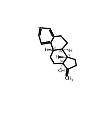 C=C1CC[C@H]2[C@@H]3CCc4c[c]ccc4[C@H]3CC[C@]12C